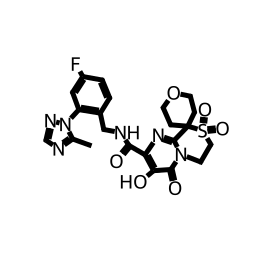 Cc1ncnn1-c1cc(F)ccc1CNC(=O)c1nc2n(c(=O)c1O)CCS(=O)(=O)C21CCOCC1